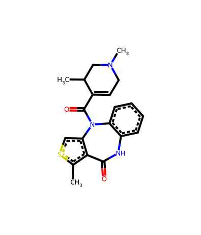 Cc1scc2c1C(=O)Nc1ccccc1N2C(=O)C1=CCN(C)CC1C